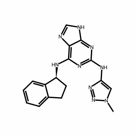 Cn1cc(Nc2nc(N[C@H]3CCc4ccccc43)c3nc[nH]c3n2)nn1